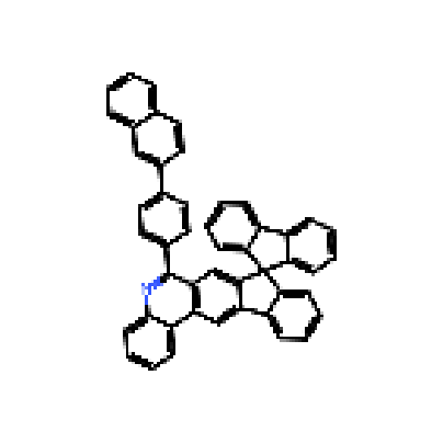 c1ccc2c(c1)-c1ccccc1C21c2ccccc2-c2cc3c(cc21)c(-c1ccc(-c2ccc4ccccc4c2)cc1)nc1ccccc13